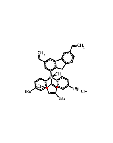 C=Cc1ccc2c(c1)-c1cc(C=C)c[c]([Zr](=[CH2])([C]3=CC(C(C)(C)C)=CC3CC)([c]3ccc(C(C)(C)C)cc3)[c]3ccc(C(C)(C)C)cc3)c1C2.Cl.Cl